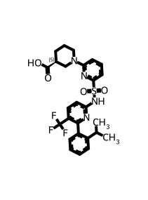 CC(C)c1ccccc1-c1nc(NS(=O)(=O)c2cccc(N3CCC[C@H](C(=O)O)C3)n2)ccc1C(F)(F)F